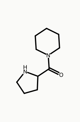 O=C(C1CCCN1)N1CCCCC1